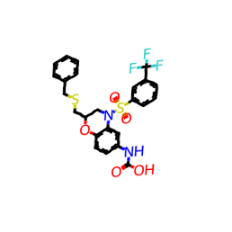 O=C(O)Nc1ccc2c(c1)N(S(=O)(=O)c1cccc(C(F)(F)F)c1)CC(CSCc1ccccc1)O2